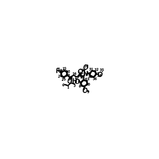 CCCCOc1cc(OC)ccc1[C@@H]1[C@@H](CC[C@H](O)c2ccc(F)cc2)OC(=O)N1c1ccc(OC)cc1